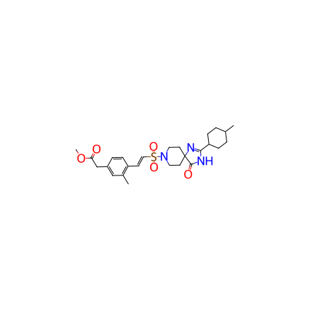 COC(=O)Cc1ccc(/C=C/S(=O)(=O)N2CCC3(CC2)N=C(C2CCC(C)CC2)NC3=O)c(C)c1